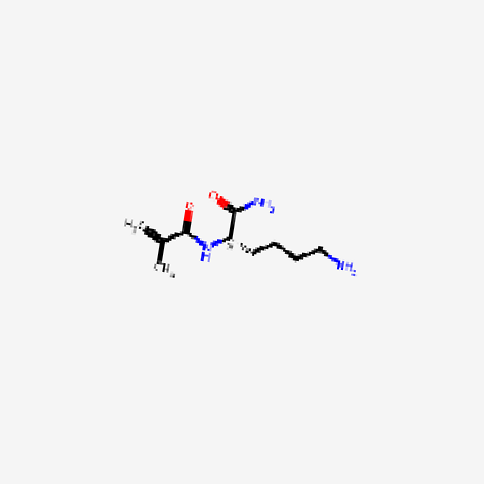 C=C(C)C(=O)N[C@@H](CCCCN)C(N)=O